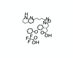 O=C(O)C(F)(F)F.O=C(O)CC(Cc1nc(CCCc2ccc3c(n2)NCCC3)no1)c1cccc(Oc2ccccc2)c1